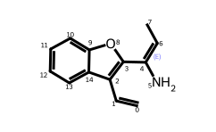 C=Cc1c(/C(N)=C\C)oc2ccccc12